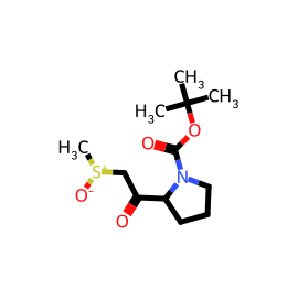 C[S+]([O-])CC(=O)C1CCCN1C(=O)OC(C)(C)C